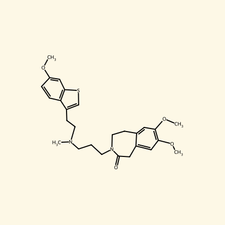 COc1ccc2c(CCN(C)CCCN3CCc4cc(OC)c(OC)cc4CC3=O)csc2c1